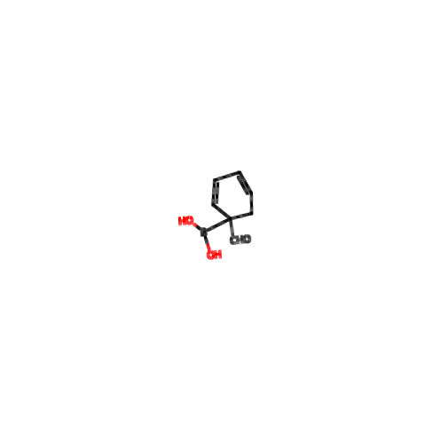 O=CC1(B(O)O)C=CC=CC1